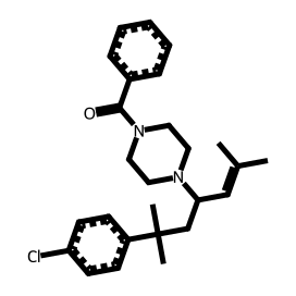 CC(C)=CC(CC(C)(C)c1ccc(Cl)cc1)N1CCN(C(=O)c2ccccc2)CC1